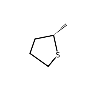 C[C@H]1CCCS1